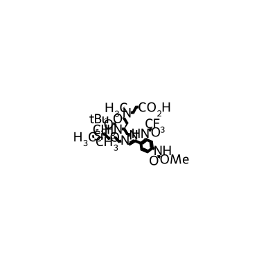 COC(=O)Nc1ccc(-c2cn(COCC[Si](C)(C)C)c([C@H](CCN(C)CCC(=O)O)NC(=O)OC(C)(C)C)n2)c(NC(=O)C(F)(F)F)c1